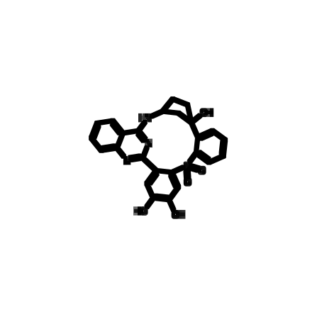 O=S1(=O)c2cc(O)c(O)cc2-c2nc(c3ccccc3n2)NC2CCC(O)(C2)c2ccccc21